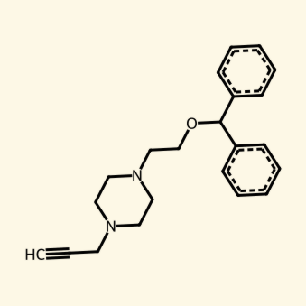 C#CCN1CCN(CCOC(c2ccccc2)c2ccccc2)CC1